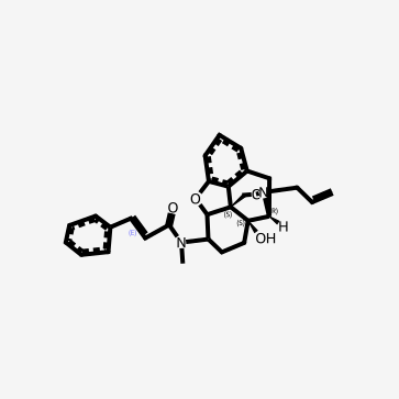 C=CCN1CC[C@]23c4c5cccc4OC2C(N(C)C(=O)/C=C/c2ccccc2)CC[C@@]3(O)[C@H]1C5